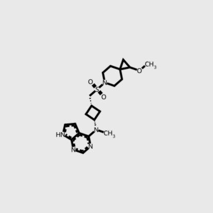 COC1CC12CCN(S(=O)(=O)C[C@H]1C[C@@H](N(C)c3ncnc4[nH]ccc34)C1)CC2